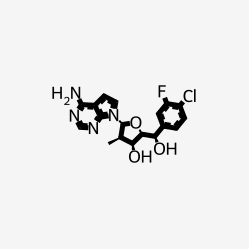 C[C@@H]1[C@H](O)[C@@H]([C@H](O)c2ccc(Cl)c(F)c2)O[C@H]1n1ccc2c(N)ncnc21